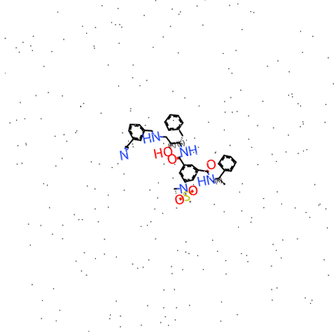 C[C@@H](NC(=O)c1cc(C(=O)N[C@@H](Cc2ccccc2)[C@H](O)CNCc2cccc(C#N)c2)cc(N(C)S(C)(=O)=O)c1)c1ccccc1